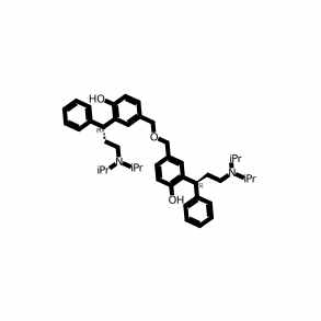 CC(C)N(CC[C@H](c1ccccc1)c1cc(COCc2ccc(O)c([C@@H](CCN(C(C)C)C(C)C)c3ccccc3)c2)ccc1O)C(C)C